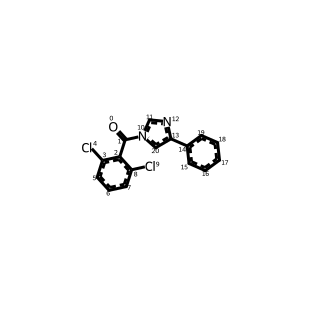 O=C(c1c(Cl)cccc1Cl)n1cnc(-c2ccccc2)c1